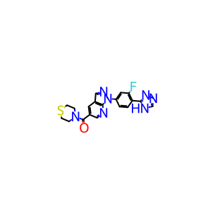 O=C(c1cnc2c(cnn2-c2ccc(-c3nnc[nH]3)c(F)c2)c1)N1CCSCC1